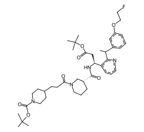 CC(c1cccc(OCCF)c1)c1ncccc1[C@H](CC(=O)OC(C)(C)C)NC(=O)[C@@H]1CCCN(C(=O)CCC2CCN(C(=O)OC(C)(C)C)CC2)C1